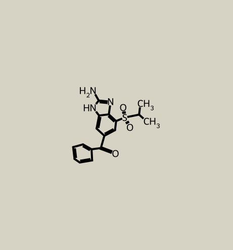 CC(C)S(=O)(=O)c1cc(C(=O)c2ccccc2)cc2[nH]c(N)nc12